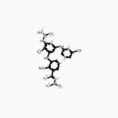 COc1c(Nc2cc(Nc3cncc(C#N)n3)nc(NN(C)C=O)c2C)cccc1/C(N)=N/N(C)N